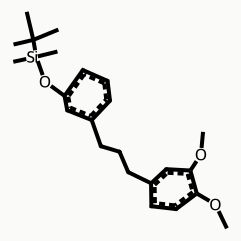 COc1ccc(CCCc2cccc(O[Si](C)(C)C(C)(C)C)c2)cc1OC